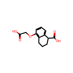 O=C(O)COc1cccc2c1CCCC2C(=O)O